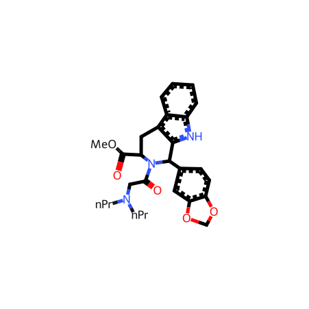 CCCN(CCC)CC(=O)N1C(C(=O)OC)Cc2c([nH]c3ccccc23)C1c1ccc2c(c1)OCO2